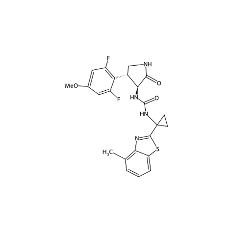 COc1cc(F)c([C@@H]2CNC(=O)[C@H]2NC(=O)NC2(c3nc4c(C)cccc4s3)CC2)c(F)c1